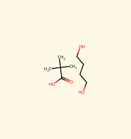 CC(C)(C)C(=O)O.OCCCCO